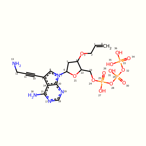 C=CCOC1CC(n2cc(C#CCN)c3c(N)ncnc32)OC1COP(=O)(O)OP(=O)(O)OP(=O)(O)O